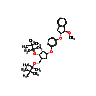 CO[C@@H]1c2ccccc2C[C@H]1Oc1cccc(O[C@@H]2C[C@@H](CO[Si](C)(C)C(C)(C)C)[C@H](O[Si](C)(C)C(C)(C)C)C2)c1